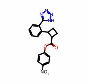 O=C(Oc1ccc([N+](=O)[O-])cc1)C1CCC1c1ccccc1-c1nnn[nH]1